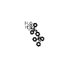 COc1ccccc1C1N(C)c2ccccc2N1Cc1ccc(N2c3ccccc3N(c3ccccc3)C2c2ccccc2)cc1